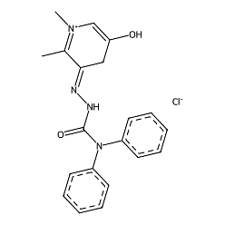 CC1=[N+](C)C=C(O)CC1=NNC(=O)N(c1ccccc1)c1ccccc1.[Cl-]